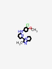 COc1ccc(Nc2cccc(-c3c(C)nc4ccccn34)n2)cc1Cl